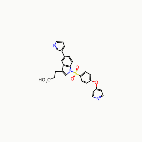 O=C(O)CCc1cn(S(=O)(=O)c2ccc(Oc3ccncc3)cc2)c2ccc(-c3cccnc3)cc12